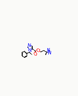 CC(c1ccccc1)n1cncc1C(=O)OCCC1(C)N=N1